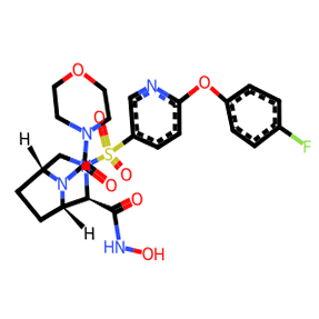 O=C(NO)[C@H]1[C@@H]2CC[C@H](CN1S(=O)(=O)c1ccc(Oc3ccc(F)cc3)nc1)N2C(=O)N1CCOCC1